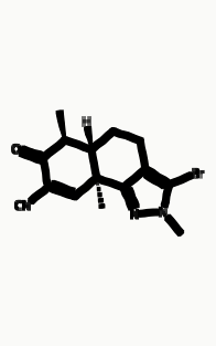 [C-]#[N+]C1=C[C@]2(C)c3nn(C)c(Br)c3CC[C@H]2[C@H](C)C1=O